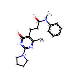 Cc1nc(N2CCCC2)[nH]c(=O)c1CCC(=O)N(C)c1ccccc1